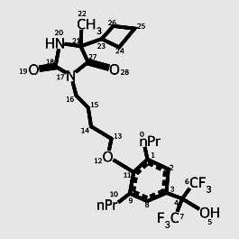 CCCc1cc(C(O)(C(F)(F)F)C(F)(F)F)cc(CCC)c1OCCCCN1C(=O)NC(C)(C2CCC2)C1=O